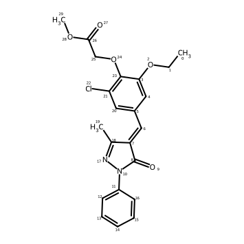 CCOc1cc(C=C2C(=O)N(c3ccccc3)N=C2C)cc(Cl)c1OCC(=O)OC